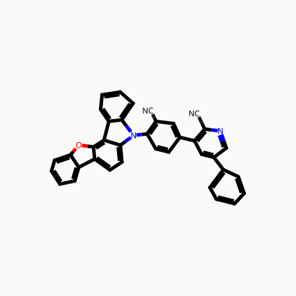 N#Cc1cc(-c2cc(-c3ccccc3)cnc2C#N)ccc1-n1c2ccccc2c2c3oc4ccccc4c3ccc21